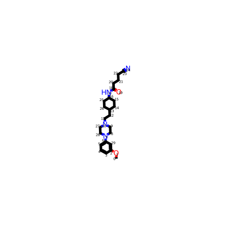 COc1cccc(N2CCN(CCC3CCC(NC(=O)CCCC#N)CC3)CC2)c1